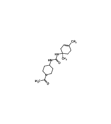 CC(=O)N1CCC(NC(=O)NC2(C)CC=C(C)CC2)CC1